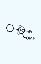 COCC1OC2(C3CCCCC3)OCC1(C(C)C)CO2